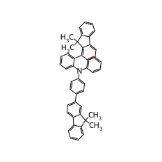 CC1(C)c2ccccc2-c2ccc(-c3ccc(N(c4ccccc4)c4ccccc4-c4cccc5c4C(C)(C)c4ccccc4-5)cc3)cc21